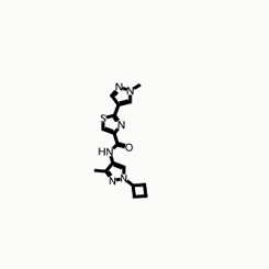 Cc1nn(C2CCC2)cc1NC(=O)c1csc(-c2cnn(C)c2)n1